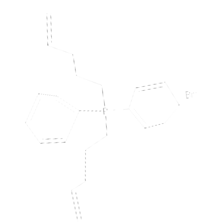 C=CCCC[P+](CCCC=C)(c1ccccc1)c1ccccc1.[Br-]